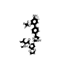 CN[C@H](C(=O)N1CC2(C[C@H]1c1nc(-c3ccc(-c4ccc(N)cc4OC(F)(F)F)cc3)c[nH]1)OCCO2)C(C)C